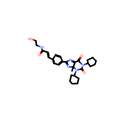 CC12N=C(c3ccc(/C=C/C(=O)NCCO)cc3)N=C1C(=O)N(C1CCCCC1)C(=O)N2C1CCCCC1